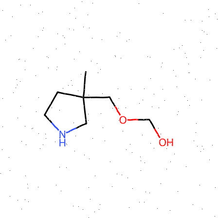 CC1(COCO)CCNC1